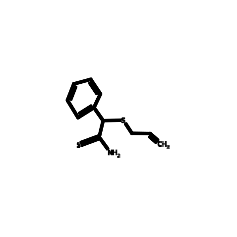 C=CCSC(C(N)=S)c1ccccc1